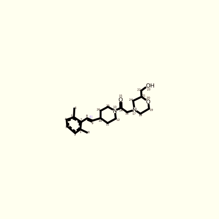 Cc1cccc(C)c1/C=C/C1CCN(C(=O)CN2CCOC(CO)C2)CC1